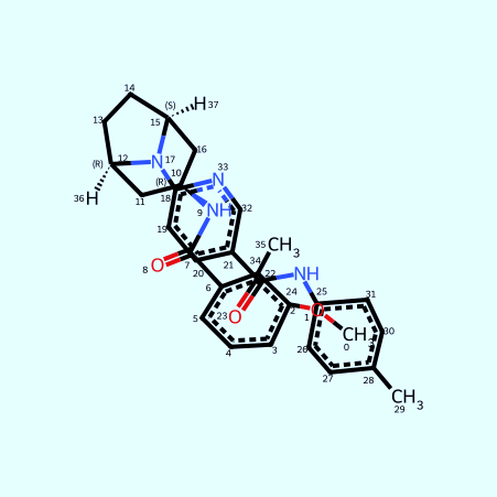 COc1cccc(C(=O)N[C@H]2C[C@H]3CC[C@@H](C2)N3c2ccc(C(=O)Nc3ccc(C)cc3)cn2)c1C